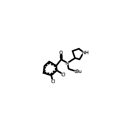 CC(C)(C)CN(C(=O)c1cccc(Cl)c1Cl)C1CCNC1